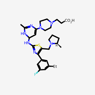 CCc1cc(F)cc(-c2nc(NC3C=C(N4CCN(CCC(=O)O)CC4)N=C(C)N3)sc2CN2CCC[C@H]2C)c1